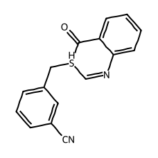 N#Cc1cccc(C[SH]2C=Nc3ccccc3C2=O)c1